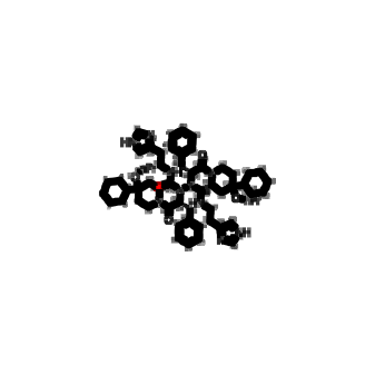 CCCOC1(C2CCCCC2)CCN(C(=O)[C@@H](Cc2ccccc2)N(C(=O)NCCc2c[nH]cn2)N(C(=S)NCCc2c[nH]cn2)[C@H](Cc2ccccc2)C(=O)N2CCC(OCCC)(C3CCCCC3)CC2)CC1